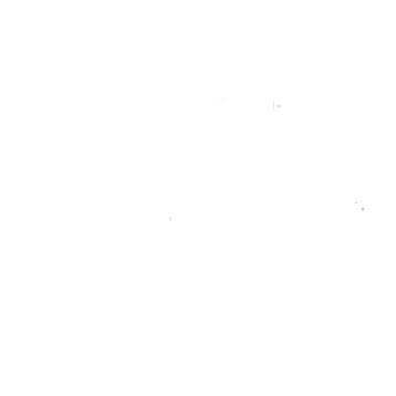 C[C@@H]1Cn2c(nc3cc(C(=O)Nc4ccc(OC(F)(F)Cl)cc4)cc(-c4cncnc4)c32)CO1